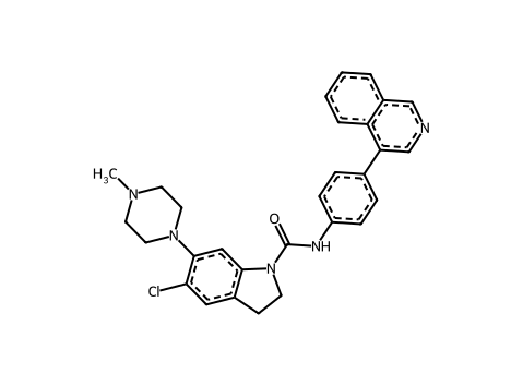 CN1CCN(c2cc3c(cc2Cl)CCN3C(=O)Nc2ccc(-c3cncc4ccccc34)cc2)CC1